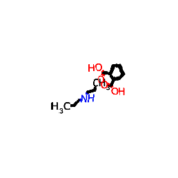 CCCNCCC.O=C(O)c1ccccc1C(=O)O